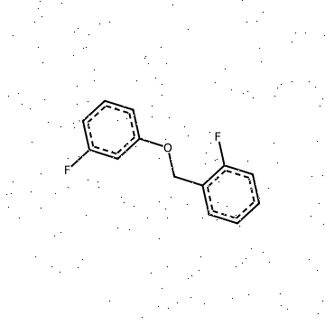 Fc1[c]ccc(OCc2ccccc2F)c1